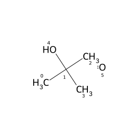 CC(C)(C)O.[O]